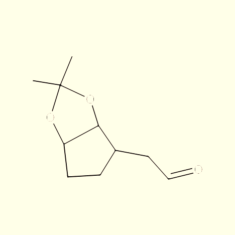 CC1(C)OC2CCC(CC=O)C2O1